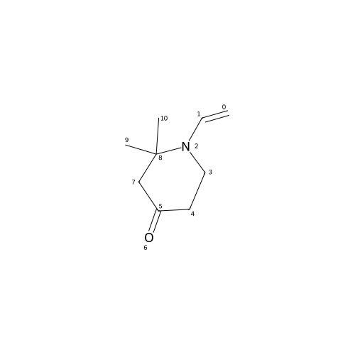 C=CN1CCC(=O)CC1(C)C